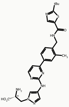 Cc1cc(-c2ccnc(Nc3cnn(C[C@@H](N)C(=O)O)c3)n2)ccc1CNC(=O)c1cnc(C(C)(C)C)s1